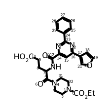 CCOC(=O)N1CCN(C(=O)C(CCC(=O)O)NC(=O)c2cc(-c3ccoc3)nc(-c3ccccc3)n2)CC1